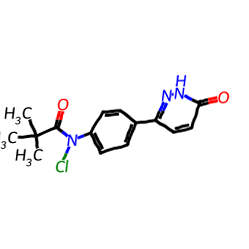 CC(C)(C)C(=O)N(Cl)c1ccc(-c2ccc(=O)[nH]n2)cc1